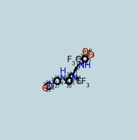 CS(=O)(=O)c1ccc(NCC#Cc2cc3c(N[C@H]4CC[C@@H](N5CCOCC5)CC4)cccc3n2CC(F)(F)F)c(C(F)(F)F)c1